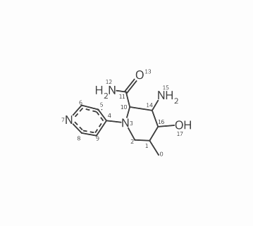 CC1CN(c2[c]cncc2)C(C(N)=O)C(N)C1O